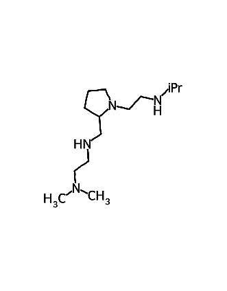 CC(C)NCCN1CCCC1CNCCN(C)C